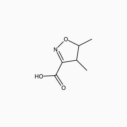 CC1ON=C(C(=O)O)C1C